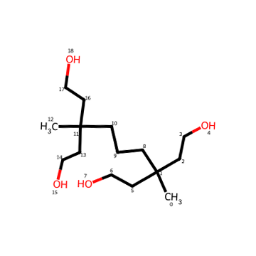 CC(CCO)(CCO)CCCC(C)(CCO)CCO